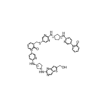 O=c1ccccn1-c1ccc(N[C@H]2CC[C@H](Nc3ncc(SCc4cccn(-c5ccc(N[C@H]6CC[C@H](Nc7ncc8sc(CO)cc8n7)C6)nc5)c4=O)cn3)C2)nc1